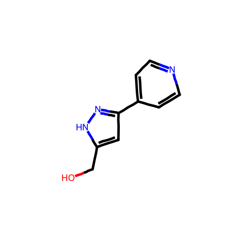 OCc1cc(-c2ccncc2)n[nH]1